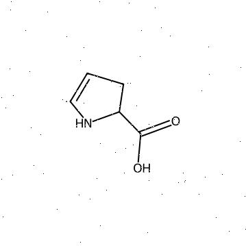 O=C(O)C1CC=[C]N1